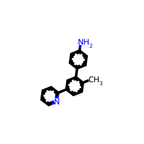 Cc1ccc(-c2ccccn2)cc1-c1ccc(N)cc1